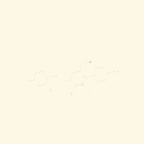 COC(=O)c1cc(Br)ccc1-n1c(C)cc(OCc2ccc(F)cc2F)c(Br)c1=O